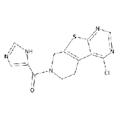 O=C(c1cnc[nH]1)N1CCc2c(sc3ncnc(Cl)c23)C1